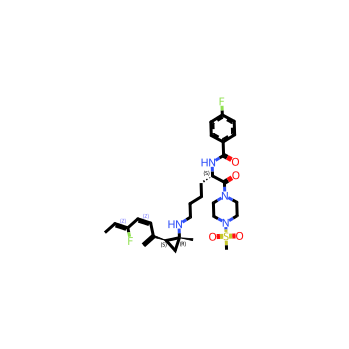 C=C(/C=C\C(F)=C\C)[C@@H]1C[C@@]1(C)NCCCC[C@H](NC(=O)c1ccc(F)cc1)C(=O)N1CCN(S(C)(=O)=O)CC1